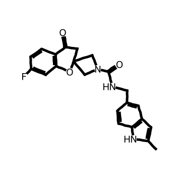 Cc1cc2cc(CNC(=O)N3CC4(CC(=O)c5ccc(F)cc5O4)C3)ccc2[nH]1